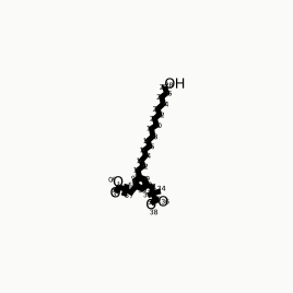 COC(=O)C(C)(C)Cc1cc(CCCCCCCCCCCCCCCCCO)cc(CC(C)(C)C(=O)OC)c1